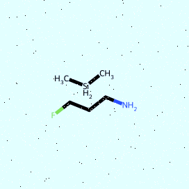 C[SiH2]C.NCCCF